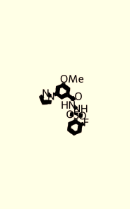 COc1cc(C(=O)NNS(=O)(=O)c2ccccc2F)cc(-n2cccn2)c1